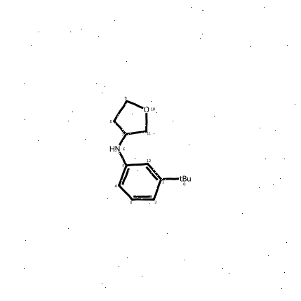 CC(C)(C)c1cccc(NC2CCOC2)c1